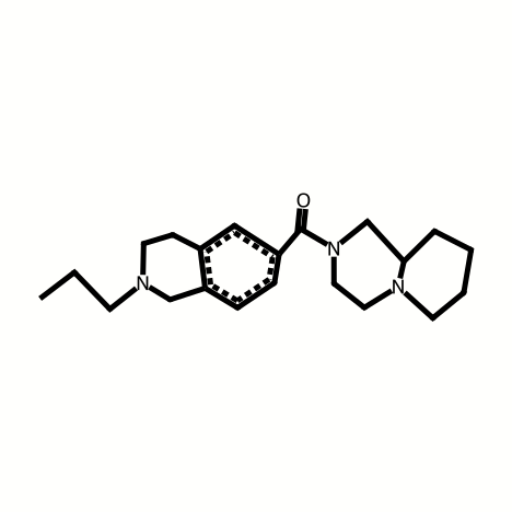 CCCN1CCc2cc(C(=O)N3CCN4CCCCC4C3)ccc2C1